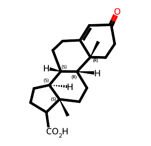 C[C@]12CCC(=O)C=C1CC[C@@H]1[C@H]2CC[C@]2(C)C(C(=O)O)CC[C@@H]12